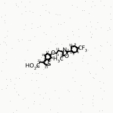 Cc1oc(-c2ccc(C(F)(F)F)cc2)nc1CCOc1ccc2c(CC(=O)O)csc2c1